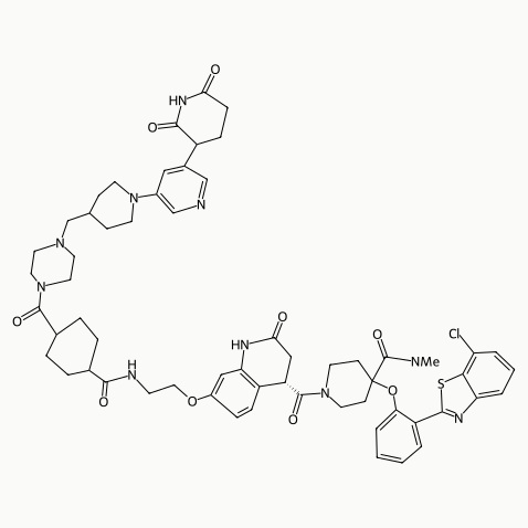 CNC(=O)C1(Oc2ccccc2-c2nc3cccc(Cl)c3s2)CCN(C(=O)[C@H]2CC(=O)Nc3cc(OCCNC(=O)C4CCC(C(=O)N5CCN(CC6CCN(c7cncc(C8CCC(=O)NC8=O)c7)CC6)CC5)CC4)ccc32)CC1